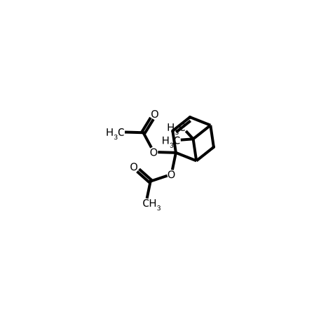 CC(=O)OC1(OC(C)=O)C=CC2CC1C2(C)C